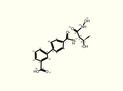 C[C@@H](O)[C@H](NC(=O)c1ccc(-c2cccc(C(=O)O)c2)cc1)C(=O)NO